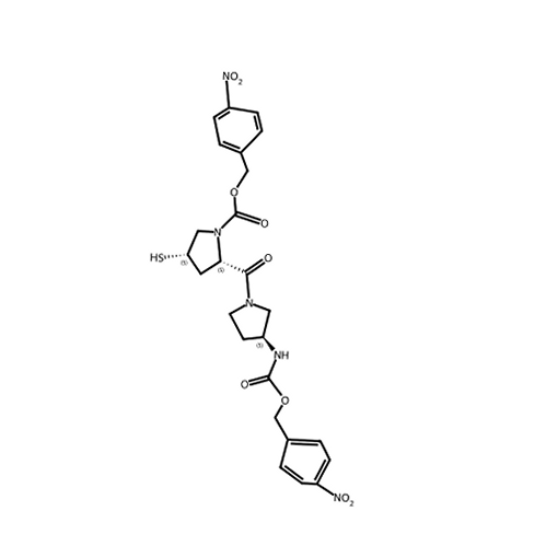 O=C(N[C@H]1CCN(C(=O)[C@@H]2C[C@H](S)CN2C(=O)OCc2ccc([N+](=O)[O-])cc2)C1)OCc1ccc([N+](=O)[O-])cc1